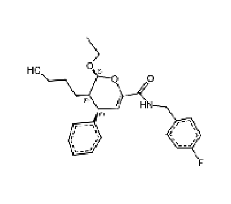 CCO[C@H]1OC(C(=O)NCc2ccc(F)cc2)=C[C@@H](c2ccccc2)[C@H]1CCCO